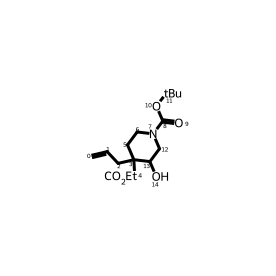 C=CCC1(C(=O)OCC)CCN(C(=O)OC(C)(C)C)CC1O